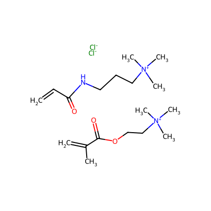 C=C(C)C(=O)OCC[N+](C)(C)C.C=CC(=O)NCCC[N+](C)(C)C.[Cl-].[Cl-]